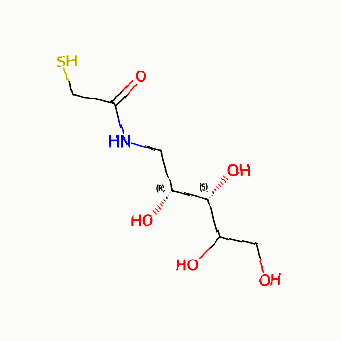 O=C(CS)NC[C@@H](O)[C@H](O)C(O)CO